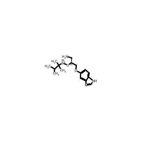 CC(C)C(C)(C)[SiH2]O[C@@H](CN)COc1ccc2[nH]cnc2c1